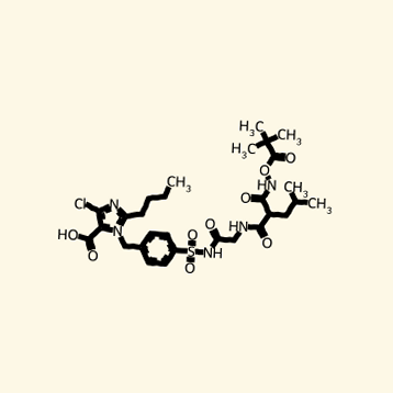 CCCCc1nc(Cl)c(C(=O)O)n1Cc1ccc(S(=O)(=O)NC(=O)CNC(=O)C(CC(C)C)C(=O)NOC(=O)C(C)(C)C)cc1